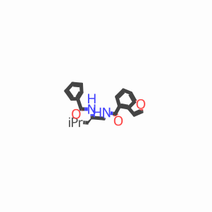 CC(C)C[C@H](CNC(=O)c1cccc2occc12)NC(=O)c1ccccc1